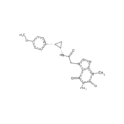 COc1ccc([C@@H]2C[C@@H]2NC(=O)Cn2cnc3c2c(=O)n(C)c(=O)n3C)cc1